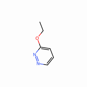 CCOc1cccnn1